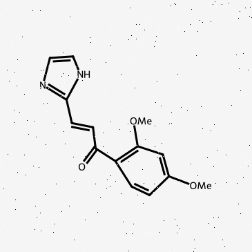 COc1ccc(C(=O)C=Cc2ncc[nH]2)c(OC)c1